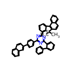 C[Si]1(C)c2ccc3ccccc3c2-c2cccc(-c3nc(-c4ccc(-c5ccc6ccccc6c5)cc4)nc(-c4ccccc4-c4ccccc4)n3)c21